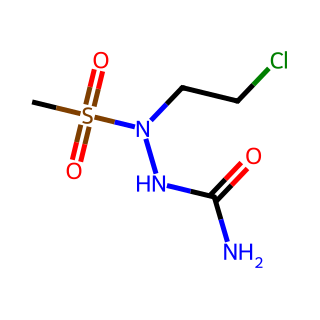 CS(=O)(=O)N(CCCl)NC(N)=O